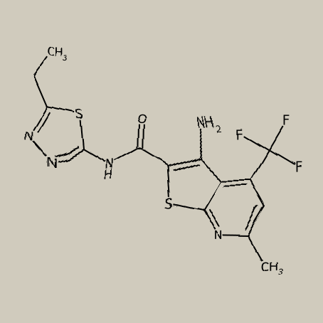 CCc1nnc(NC(=O)c2sc3nc(C)cc(C(F)(F)F)c3c2N)s1